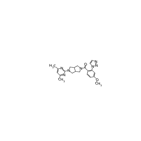 COc1ccc(C(=O)N2CC3CN(c4nc(C)cc(C)n4)CC3C2)c(-n2ccnn2)c1